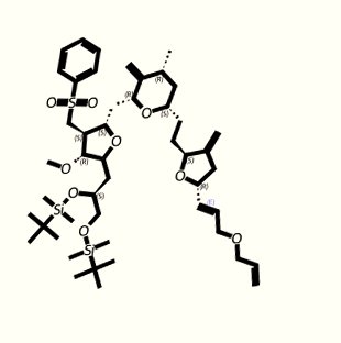 C=CCOC/C=C/[C@H]1CC(=C)[C@H](CC[C@H]2C[C@@H](C)C(=C)[C@@H](C[C@@H]3OC(C[C@@H](CO[Si](C)(C)C(C)(C)C)O[Si](C)(C)C(C)(C)C)[C@H](OC)[C@H]3CS(=O)(=O)c3ccccc3)O2)O1